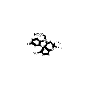 CC1(C)CC(N(CC(=O)O)c2ccc(Cl)cc2)c2cc(C#N)ccc2O1